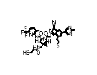 Cc1ncc(-c2cc(CC=S)c3c(c2)c(C#N)nn3CC(=O)N2[C@H](C(=O)Nc3nc(C(F)(F)F)ccc3C)C[C@@]3(CNC(=O)CCS)C[C@@H]23)cn1